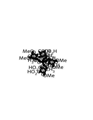 COC(=O)CN1CCN(CC(=O)O)CCN([C@H](C)C(=O)NCC(=O)NCC(CNC(=O)CNC(=O)[C@@H](C)N2CCN(CC(=O)O)CCN(CC(=O)O)CCN(CC(=O)OC)CC2)(CNC(=O)CNC(=O)[C@@H](C)N2CCN(CC(=O)O)CCN(CC(=O)O)CCN(CC(=O)OC)CC2)CNC(=O)CNC(=O)[C@@H](C)N2CCN(CC(=O)O)CCN(CC(=O)OC)CCN(CC(=O)OC)CC2)CCN(CC(=O)OC)CC1